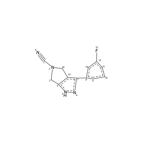 N#CN1Cc2[nH]nc(-c3cccc(F)c3)c2C1